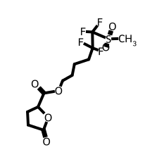 CS(=O)(=O)C(F)(F)C(F)(F)CCCCOC(=O)C1CCC(=O)O1